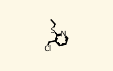 CCSc1ncccc1CCl